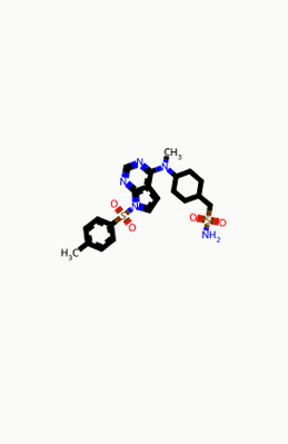 Cc1ccc(S(=O)(=O)n2ccc3c(N(C)C4CCC(CS(N)(=O)=O)CC4)ncnc32)cc1